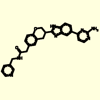 Nc1nccc(-c2ccc3[nH]c(C4COc5ccc(CC(=O)NCc6cccnc6)cc5C4)nc3c2)n1